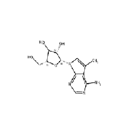 Cc1cn([C@@H]2O[C@H](CO)C(O)[C@@H]2O)c2ncnc(N)c12